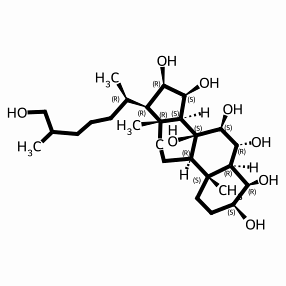 CC(CO)CCC[C@@H](C)[C@H]1[C@@H](O)[C@@H](O)[C@@H]2[C@]1(C)CC[C@@H]1[C@@]3(C)CC[C@H](O)[C@H](O)[C@@H]3[C@@H](O)[C@H](O)[C@]12O